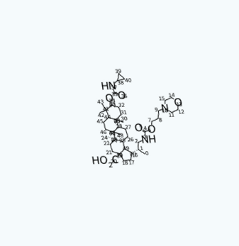 CC(CNC(=O)OCCCN1CCOCC1)[C@@H]1CC[C@]2(C(=O)O)CC[C@]3(C)C(CCC4[C@@]5(C)CC[C@@H](OC(=O)NC6CC6)C(C)(C)C5CC[C@]43C)C12